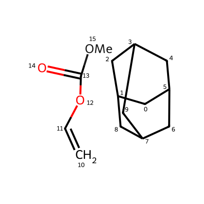 C1C2CC3CC1CC(C2)C3.C=COC(=O)OC